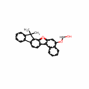 CC1(C)c2ccccc2-c2ccc3c(oc4cc(OBO)c5ccccc5c43)c21